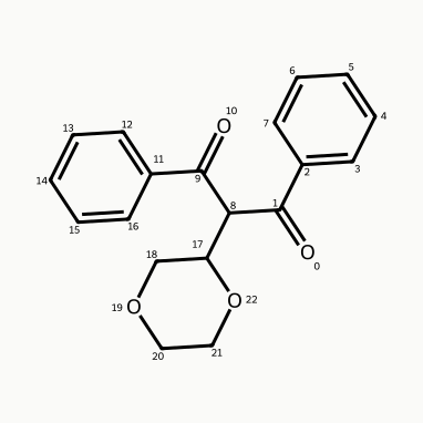 O=C(c1ccccc1)C(C(=O)c1ccccc1)C1COCCO1